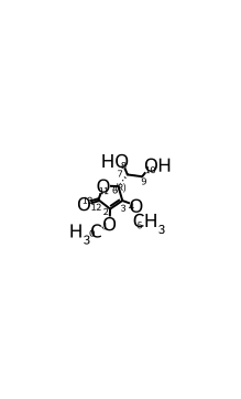 COC1=C(OC)[C@@H](C(O)CO)OC1=O